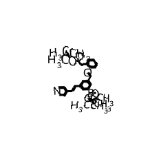 CC(C)(C)OC(=O)Cc1ccccc1OCc1cc(/C=C/c2ccncc2)cc(B2OC(C)(C)C(C)(C)O2)c1